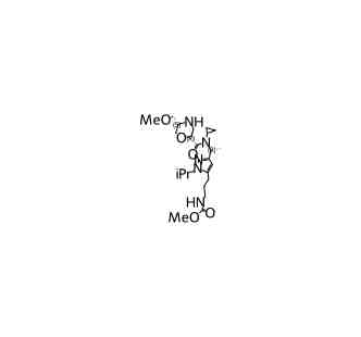 COC[C@H]1CO[C@@H](C(=O)N(C2CC2)[C@H](C)c2cc(CCCNC(=O)OC)n(C(C)C)n2)CN1